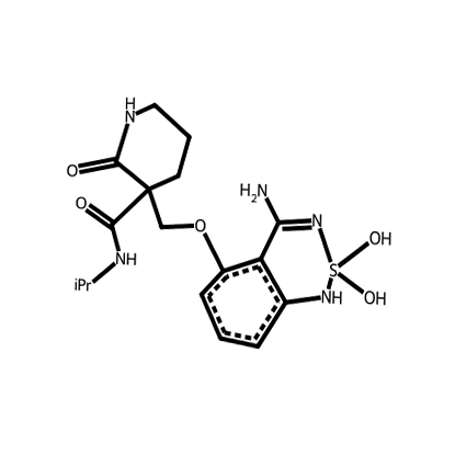 CC(C)NC(=O)C1(COc2cccc3c2C(N)=NS(O)(O)N3)CCCNC1=O